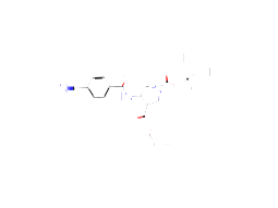 CCOC(=O)C1CN(C(=O)OC(C)(C)C)CC1NC(=O)c1ccc(C#N)cc1